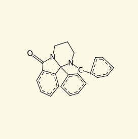 O=C1c2ccccc2C2(c3ccccc3)N(Cc3ccccc3)CCCN12